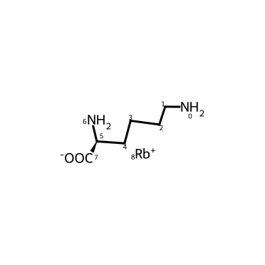 NCCCC[C@H](N)C(=O)[O-].[Rb+]